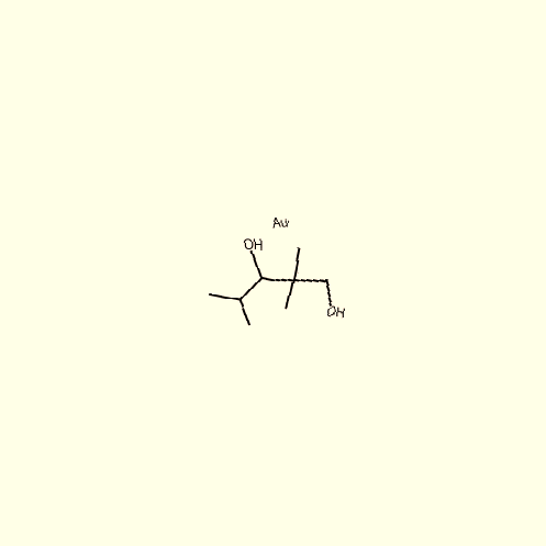 CC(C)C(O)C(C)(C)CO.[Au]